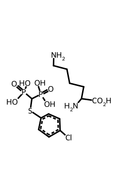 NCCCCC(N)C(=O)O.O=P(O)(O)C(Sc1ccc(Cl)cc1)P(=O)(O)O